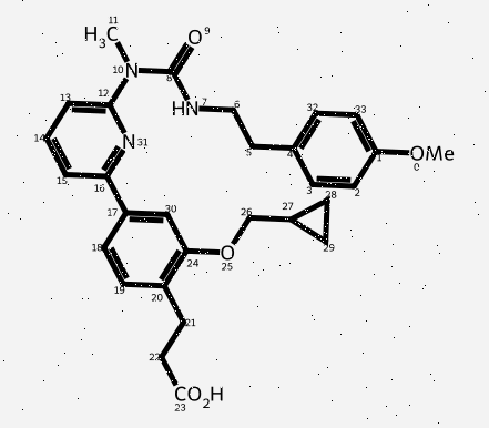 COc1ccc(CCNC(=O)N(C)c2cccc(-c3ccc(CCC(=O)O)c(OCC4CC4)c3)n2)cc1